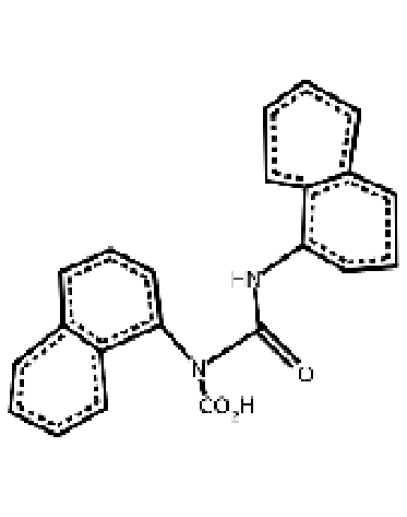 O=C(O)N(C(=O)Nc1cccc2ccccc12)c1cccc2ccccc12